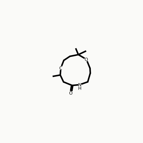 CC1CCCC(C)(C)OCCCNC(=O)C1